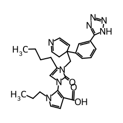 CCCCc1cn(-c2c(C(=O)O)ccn2CCC)c(=O)n1CC1(c2cccc(-c3nnn[nH]3)c2)C=CN=CC1